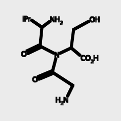 CC(C)C(N)C(=O)N(C(=O)CN)C(CO)C(=O)O